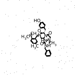 Cc1ccc(N(C)C)c(CN2C[C@@H]3N(C(=O)CN(C)N3C(=O)NCc3ccccc3)[C@@H](Cc3ccc(O)cc3)C2=O)c1